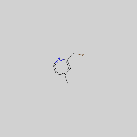 Cc1ccnc(CBr)c1